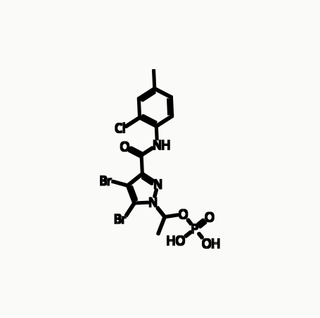 Cc1ccc(NC(=O)c2nn(C(C)OP(=O)(O)O)c(Br)c2Br)c(Cl)c1